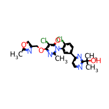 Cc1nc(COc2nc(C)n(-c3cc(-c4ccnc(C(C)(C)O)n4)ccc3Cl)c(=O)c2Cl)co1